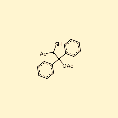 CC(=O)OC([C](S)C(C)=O)(c1ccccc1)c1ccccc1